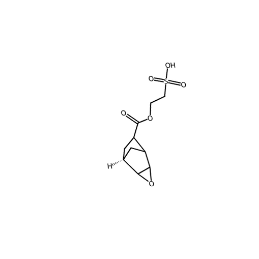 O=C(OCCS(=O)(=O)O)C1C[C@H]2CC1C1OC12